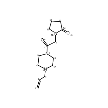 C=CCN1CCN(C(=O)CN2CCCC2=O)CC1